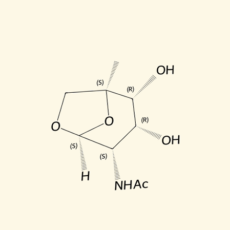 CC(=O)N[C@@H]1[C@H]2OC[C@](C)(O2)[C@H](O)[C@@H]1O